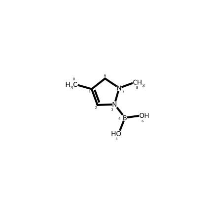 CC1=CN(B(O)O)N(C)C1